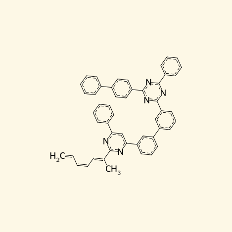 C=C/C=C\C=C(/C)c1nc(-c2ccccc2)cc(-c2cccc(-c3cccc(-c4nc(-c5ccccc5)nc(-c5ccc(-c6ccccc6)cc5)n4)c3)c2)n1